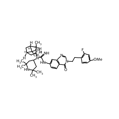 COc1ccc(CCn2cnc3cc(NC(=N)N(C4CC(C)(C)NC(C)(C)C4)[C@H]4C[C@@H]5C[C@H]([C@@H]4C)C5(C)C)ccc3c2=O)c(F)c1